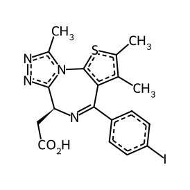 Cc1sc2c(c1C)C(c1ccc(I)cc1)=N[C@@H](CC(=O)O)c1nnc(C)n1-2